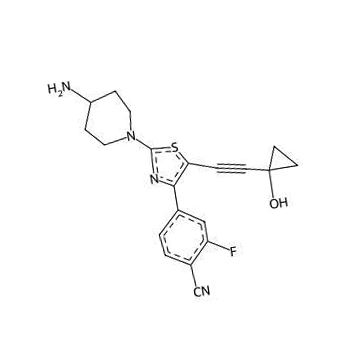 N#Cc1ccc(-c2nc(N3CCC(N)CC3)sc2C#CC2(O)CC2)cc1F